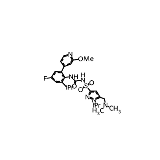 COc1cc(-c2cc(F)cc(C(C)C)c2NC(=O)NS(=O)(=O)c2cc(CN(C)C)n(C(C)C)n2)ccn1